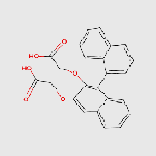 O=C(O)COc1cc2ccccc2c(-c2cccc3ccccc23)c1OCC(=O)O